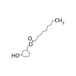 CCCCCCCCCC(=O)OCC1CCCC(O)C1